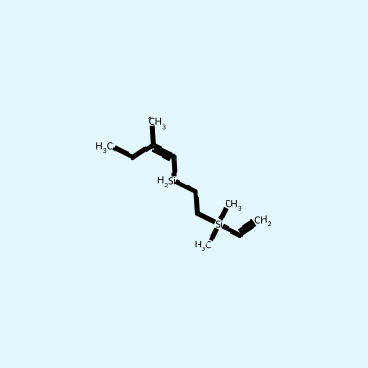 C=C[Si](C)(C)CC[SiH2]C=C(C)CC